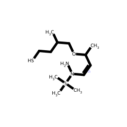 CC(CCS)COC(C)/C=C\N(N)S(C)(C)C